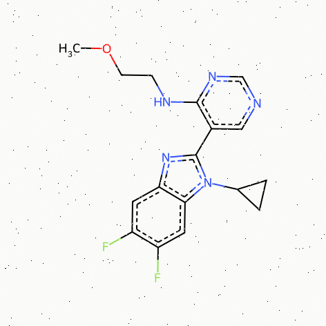 COCCNc1ncncc1-c1nc2cc(F)c(F)cc2n1C1CC1